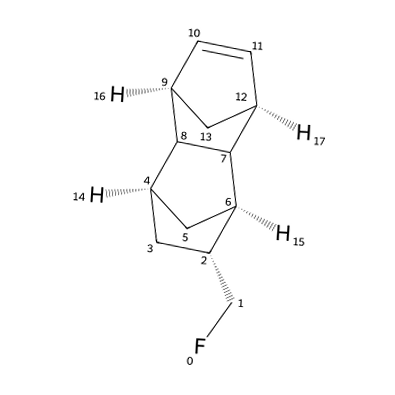 FC[C@@H]1C[C@@H]2C[C@H]1C1C2[C@H]2C=C[C@@H]1C2